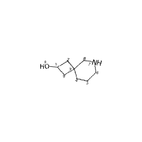 OC1CC2(CCCNC2)C1